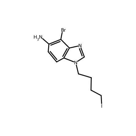 Nc1ccc2c(ncn2CCCCI)c1Br